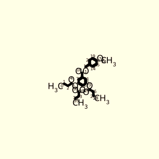 CCCC(=O)Oc1cc(C(=O)OCc2ccc(OC)cc2)cc(OC(=O)CCC)c1OC(=O)CCC